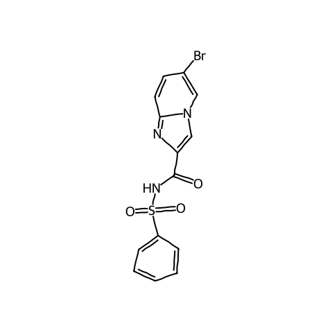 O=C(NS(=O)(=O)c1ccccc1)c1cn2cc(Br)ccc2n1